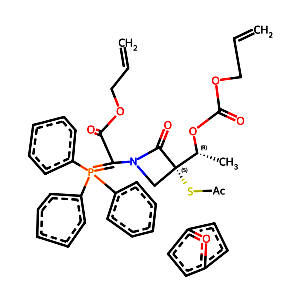 C=CCOC(=O)O[C@H](C)[C@@]1(SC(C)=O)CN(C(C(=O)OCC=C)=P(c2ccccc2)(c2ccccc2)c2ccccc2)C1=O.c1cc2ccc1o2